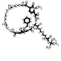 Cn1c2ccc(c1=O)C(=O)NCCCNCCCCNCCCNC(=O)c1ccc(n(OCc3ccccc3)c1=O)C(=O)NC(C(=O)NCCOCCNC(=O)OC(C)(C)C)CNC2=O